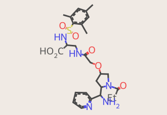 CCC(=O)N1CC(OCC(=O)NCC(NS(=O)(=O)c2c(C)cc(C)cc2C)C(=O)O)CC1C(N)c1ccccn1